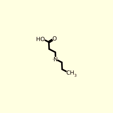 CCC[N]CCC(=O)O